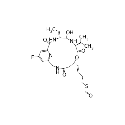 C/C=C1\NC(=O)c2cc(F)cc(n2)CNC(=O)C[C@@H](/C=C/CCSC=O)OC(=O)[C@H](C(C)C)NC1O